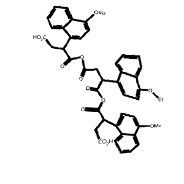 CCOc1ccc(C(CC(=O)OC(=O)C(CC(=O)O)c2ccc(OC)c3ccccc23)C(=O)OC(=O)C(CC(=O)O)c2ccc(OC)c3ccccc23)c2ccccc12